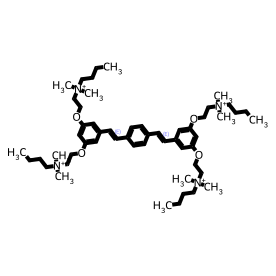 CCCC[N+](C)(C)CCOc1cc(/C=C/c2ccc(/C=C/c3cc(OCC[N+](C)(C)CCCC)cc(OCC[N+](C)(C)CCCC)c3)cc2)cc(OCC[N+](C)(C)CCCC)c1